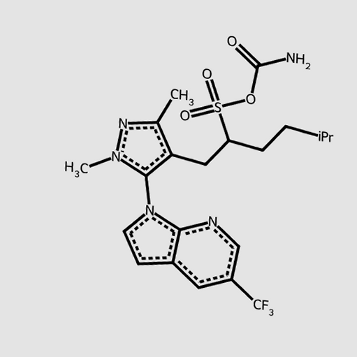 Cc1nn(C)c(-n2ccc3cc(C(F)(F)F)cnc32)c1CC(CCC(C)C)S(=O)(=O)OC(N)=O